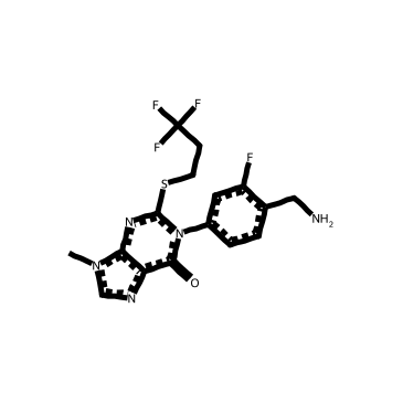 Cn1cnc2c(=O)n(-c3ccc(CN)c(F)c3)c(SCCC(F)(F)F)nc21